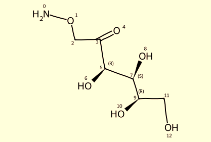 NOCC(=O)[C@H](O)[C@@H](O)[C@H](O)CO